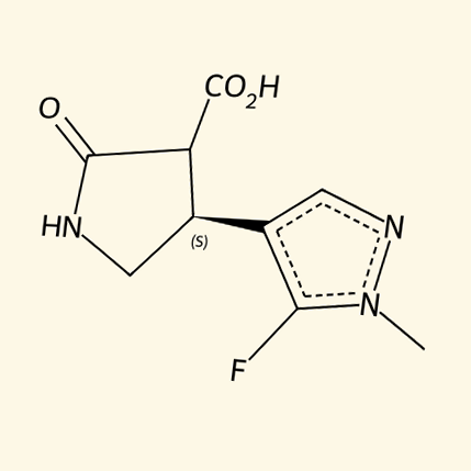 Cn1ncc([C@H]2CNC(=O)C2C(=O)O)c1F